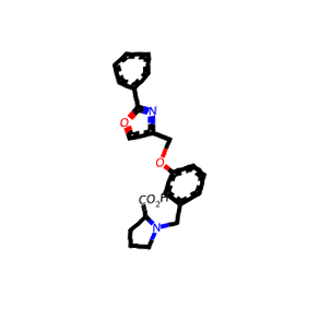 O=C(O)C1CCCN1Cc1cccc(OCc2coc(-c3ccccc3)n2)c1